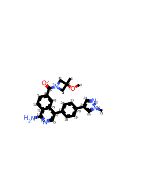 COC1(C)CN(C(=O)c2ccc3c(N)ncc(-c4ccc(-c5cnn(C)c5)cc4)c3c2)C1